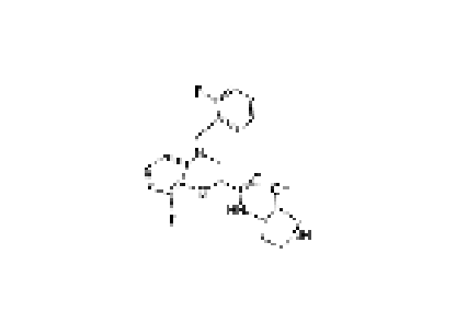 O=C(NC1CCNCC1O)C1=CN(Cc2ccccc2F)c2cccc(F)c2O1